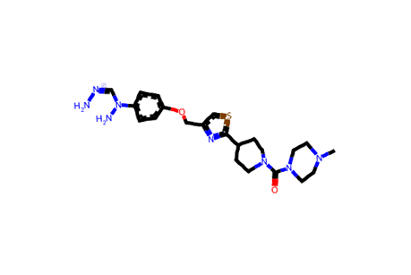 CN1CCN(C(=O)N2CCC(c3nc(COc4ccc(N(N)/C=N\N)cc4)cs3)CC2)CC1